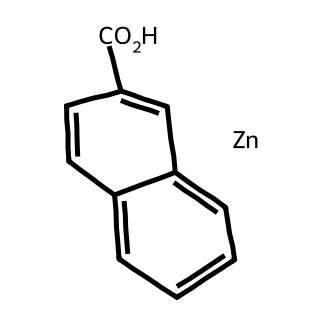 O=C(O)c1ccc2ccccc2c1.[Zn]